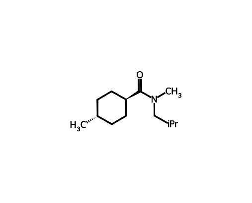 CC(C)CN(C)C(=O)[C@H]1CC[C@H](C)CC1